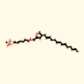 CCCCCCCCCCCCCCC1COC(COCCCCCCOS(C)(=O)=O)C1